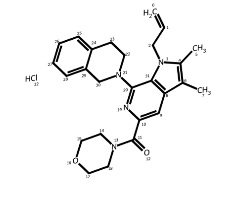 C=CCn1c(C)c(C)c2cc(C(=O)N3CCOCC3)nc(N3CCc4ccccc4C3)c21.Cl